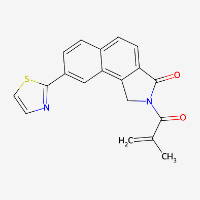 C=C(C)C(=O)N1Cc2c(ccc3ccc(-c4nccs4)cc23)C1=O